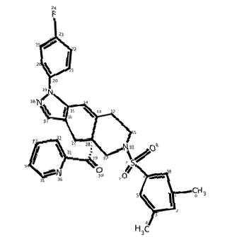 Cc1cc(C)cc(S(=O)(=O)N2CCC3=Cc4c(cnn4-c4ccc(F)cc4)C[C@]3(C(=O)c3ccccn3)C2)c1